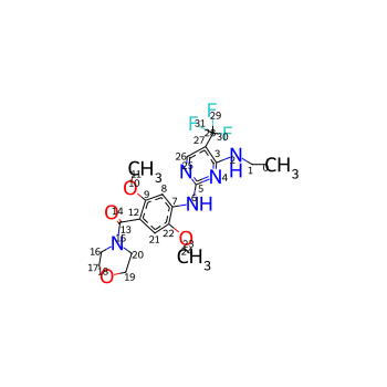 CCNc1nc(Nc2cc(OC)c(C(=O)N3CCOCC3)cc2OC)ncc1C(F)(F)F